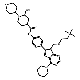 CC(C)(C)C1CC(C(=O)Nc2ccc(-c3cc4c(N5CCOCC5)ncnc4n3COCC[Si](C)(C)C)cc2)CCN1C1CCNCC1